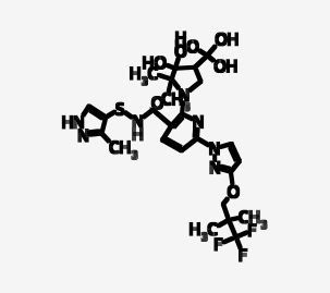 Cc1n[nH]cc1SNC(=O)c1ccc(-n2ccc(OCC(C)(C)C(F)(F)F)n2)nc1N1CC(C(O)(O)O)C(O)(O)C1(C)C